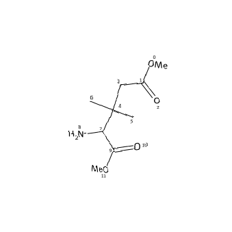 COC(=O)CC(C)(C)C(N)C(=O)OC